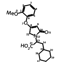 COc1ccccc1OC1=CC(=O)N(C(CC2CCCCC2)C(=O)O)C1